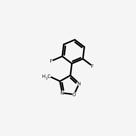 Cc1nonc1-c1c(F)cccc1F